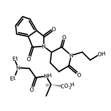 CCN(CC)CC(=O)N[C@@H](C)C(=O)O.O=C1CCC(N2C(=O)c3ccccc3C2=O)C(=O)N1CCO